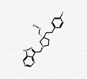 CCOC[C@]1(CCc2ccc(F)cc2)CCN(Cc2n[nH]c3cncnc23)C1